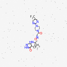 C[C@@H](CO/N=C/C(=O)N1CCN(c2ncc(C(F)(F)F)cn2)CC1)Nc1cn[nH]c(=O)c1C(F)(F)F